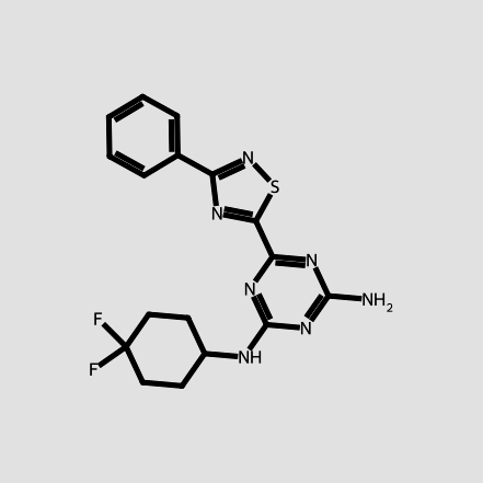 Nc1nc(NC2CCC(F)(F)CC2)nc(-c2nc(-c3ccccc3)ns2)n1